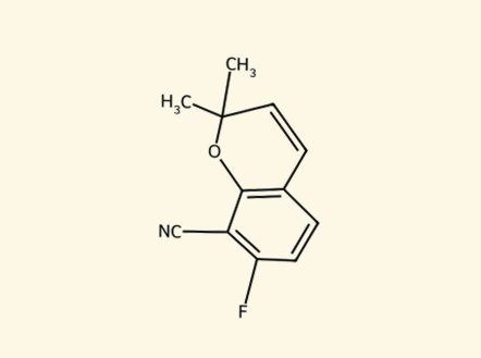 CC1(C)C=Cc2ccc(F)c(C#N)c2O1